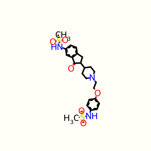 CS(=O)(=O)Nc1ccc(OCCN2CCC(C3Cc4ccc(NS(C)(=O)=O)cc4C3=O)CC2)cc1